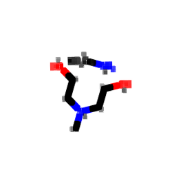 CN(CCO)CCO.NC(=O)O